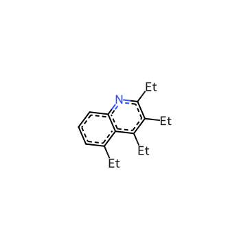 CCc1nc2cccc(CC)c2c(CC)c1CC